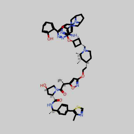 Cc1ncsc1-c1ccc([C@H](C)NC(=O)[C@@H]2C[C@@H](O)CN2C(=O)[C@@H](c2cc(OCC[C@H]3CCN(C[C@H]4C[C@H](Oc5cc(N6C7CCC6CN(c6cc(-c8ccccc8O)nnc6N)C7)ccn5)C4)[C@@H](C)[C@H]3C)no2)C(C)C)cc1